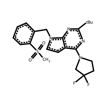 CC(C)(C)c1nc(N2CCC(F)(F)C2)c2ccn(Cc3ccccc3S(C)(=O)=O)c2n1